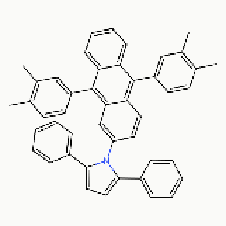 Cc1ccc(-c2c3ccccc3c(-c3ccc(C)c(C)c3)c3cc(-n4c(-c5ccccc5)ccc4-c4ccccc4)ccc23)cc1C